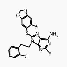 Nc1nc(F)nc2c1nc(Sc1cc3c(cc1Br)OCO3)n2CCc1ccccc1Cl